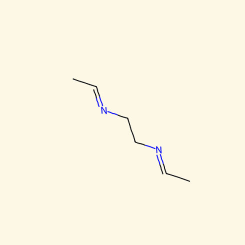 C/C=N/CC/N=C/C